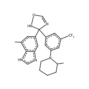 Cc1cc(C2(c3cc(N4CCCCC4C)cc(C(F)(F)F)c3)N=CON2)cc2nc[nH]c12